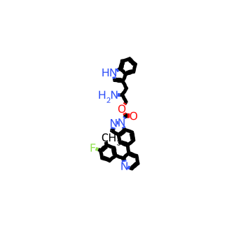 Cc1cc(-c2ncccc2-c2ccc3c(cnn3C(=O)OCC(N)Cc3c[nH]c4ccccc34)c2)ccc1F